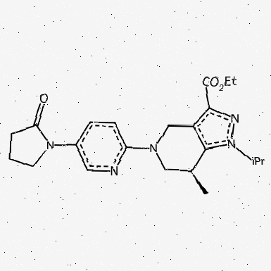 CCOC(=O)c1nn(C(C)C)c2c1CN(c1ccc(N3CCCC3=O)cn1)C[C@@H]2C